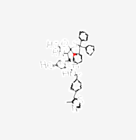 Cc1ncsc1-c1ccc([C@H](C)NC(=O)[C@@H]2C[C@@H](O)CN2C(=O)C(NC(=O)O)C(C)(C)SC(c2ccccc2)(c2ccccc2)c2ccccc2)cc1